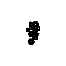 COc1cccc(Cl)c1C(=O)[PH](=O)c1c(Br)ccc(C(=O)c2ccccc2)c1Br